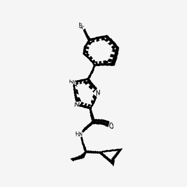 CC(NC(=O)c1n[nH]c(-c2cccc(Br)c2)n1)C1CC1